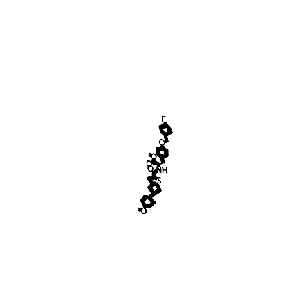 COC(=O)[C@H](Cc1ccc(OCc2ccc(F)cc2)cc1)NC(=O)c1cc2cc(-c3ccc(OC)cc3)ccc2s1